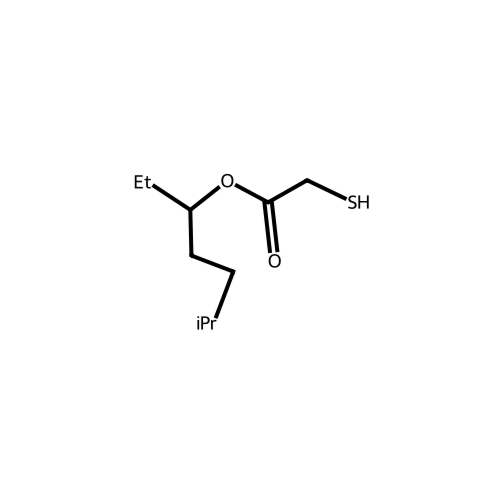 CCC(CCC(C)C)OC(=O)CS